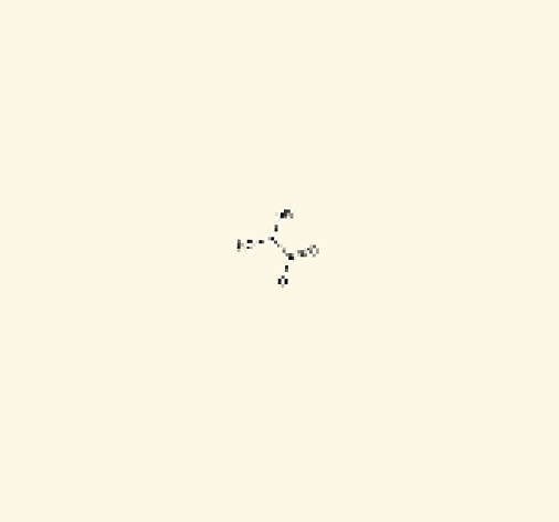 CCCC(C#N)C([O])=O